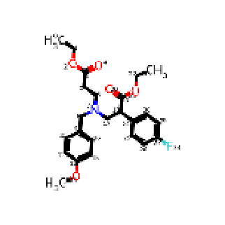 CCOC(=O)CCN(Cc1ccc(OC)cc1)CC(C(=O)OCC)c1ccc(F)cc1